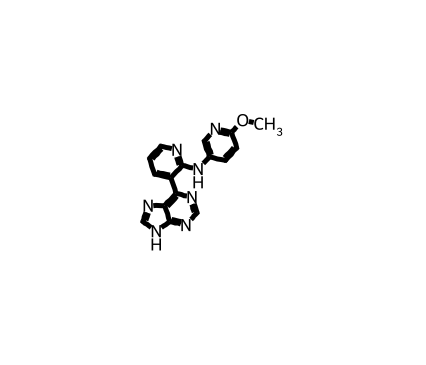 COc1ccc(Nc2ncccc2-c2ncnc3[nH]cnc23)cn1